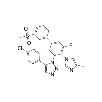 Cc1cn(-c2c(F)cc(-c3cccc(S(C)(=O)=O)c3)cc2-n2nncc2-c2ccc(Cl)cc2)cn1